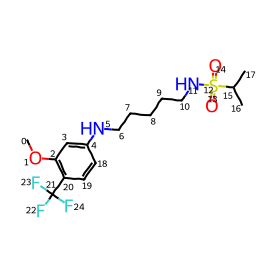 COc1cc(NCCCCCNS(=O)(=O)C(C)C)ccc1C(F)(F)F